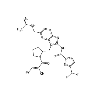 CC(C)/C=C(\C#N)C(=O)N1CCC[C@@H]1Cn1c(NC(=O)c2ccc(C(F)F)s2)nc2ccc(CN[C@@H](C)C(C)(C)C)cc21